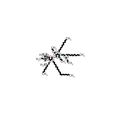 C=CCOC(=O)O[C@H](CCCCCCCCCCC)CCO[C@H]1[C@@H](O/C=C/C)O[C@H](CO[C@H]2O[C@H](COC)[C@@H](OP(=O)(OCC=C)OCC=C)[C@H](OCC[C@@H](CCCCCCC)OC)[C@H]2OCCCCCCCCCC/C=C\CCCCCC)[C@@H](OC(=O)OCC=C)[C@@H]1OCCCCCCCCCCCC